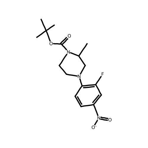 CC1CN(c2ccc([N+](=O)[O-])cc2F)CCN1C(=O)OC(C)(C)C